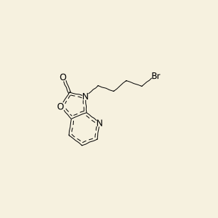 O=c1oc2cccnc2n1CCCCBr